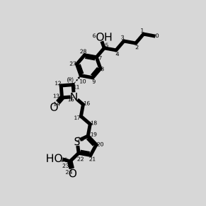 CCCCCC(O)c1ccc([C@H]2CC(=O)N2CCCc2ccc(C(=O)O)s2)cc1